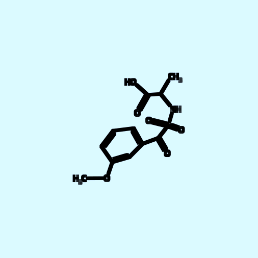 COc1cccc(C(=O)S(=O)(=O)NC(C)C(=O)O)c1